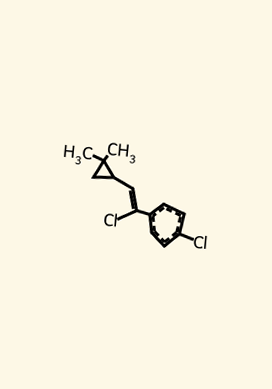 CC1(C)CC1C=C(Cl)c1ccc(Cl)cc1